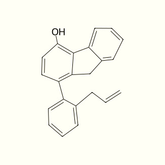 C=CCc1ccccc1-c1ccc(O)c2c1Cc1ccccc1-2